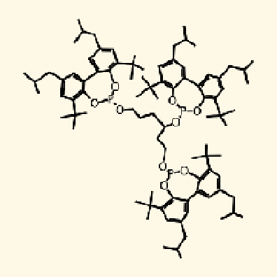 CC(C)Cc1cc(C(C)(C)C)c2op(OCCCC(CCOp3oc4c(C(C)(C)C)cc(CC(C)C)cc4c4cc(CC(C)C)cc(C(C)(C)C)c4o3)Op3oc4c(C(C)(C)C)cc(CC(C)C)cc4c4cc(CC(C)C)cc(C(C)(C)C)c4o3)oc3c(C(C)(C)C)cc(CC(C)C)cc3c2c1